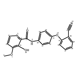 COc1ccnc(C(=O)Nc2ccc(Oc3ccccc3C#N)cc2)c1O